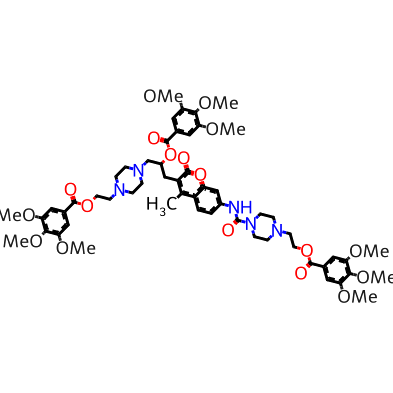 COc1cc(C(=O)OCCN2CCN(CC(Cc3c(C)c4ccc(NC(=O)N5CCN(CCOC(=O)c6cc(OC)c(OC)c(OC)c6)CC5)cc4oc3=O)OC(=O)c3cc(OC)c(OC)c(OC)c3)CC2)cc(OC)c1OC